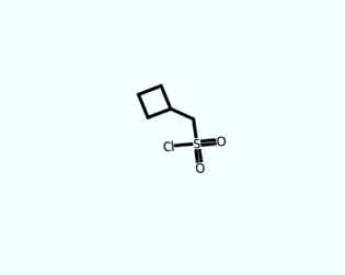 O=S(=O)(Cl)CC1CCC1